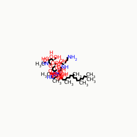 CC(=O)N[C@@H]1[C@@H](O[C@H](C)C(=O)N[C@@H](C)C(=O)N[C@H](CCC(=O)N[C@@H](CCCCN)C(=O)O)C(=O)O)C(O[C@@H]2O[C@H](CO)[C@@H](O)[C@H](O)[C@H]2NC(C)=O)[C@@H](CO)O[C@@H]1P(=O)(O)OP(=O)(O)OCCC(C)CCCC(C)CCCC(C)CCCC(C)C